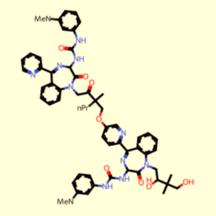 CCCC(C)(COc1ccc(C2=NC(NC(=O)Nc3cccc(NC)c3)C(=O)N(CC(O)C(C)(C)CO)c3ccccc32)nc1)C(=O)CN1C(=O)C(NC(=O)Nc2cccc(NC)c2)N=C(c2ccccn2)c2ccccc21